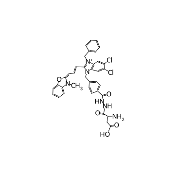 CN1C(=CC=Cc2n(Cc3ccc(C(=O)NNC(=O)C(N)CC(=O)O)cc3)c3cc(Cl)c(Cl)cc3[n+]2Cc2ccccc2)Oc2ccccc21